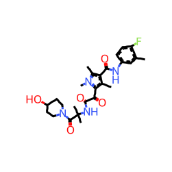 Cc1cc(NC(=O)c2c(C)c(C(=O)C(=O)NC(C)(C)C(=O)N3CCC(O)CC3)n(C)c2C)ccc1F